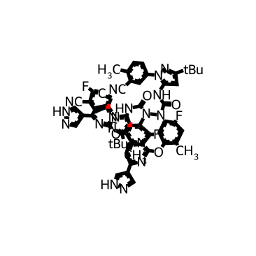 Cc1ccc(-n2nc(C(C)(C)C)cc2NC(=O)N(c2cc(Oc3nccc(-c4cn[nH]c4)n3)c(C)cc2F)N(C(=O)Nc2cc(C(C)(C)C)nn2-c2ccc(F)c(C#N)c2)c2cc(Oc3nccc(-c4cn[nH]c4)n3)c(C)cc2F)cc1C#N